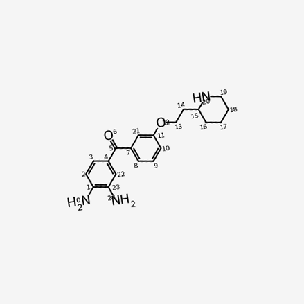 Nc1ccc(C(=O)c2cccc(OCCC3CCCCN3)c2)cc1N